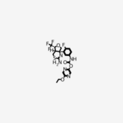 CCOc1cnc(OC(=O)Nc2ccc(F)c([C@]34CO[C@H](C(F)(F)F)[C@H]3CSC(N)=N4)c2)cn1